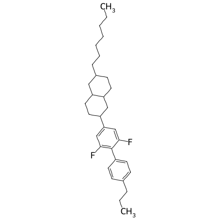 CCCCCCCC1CCC2CC(c3cc(F)c(-c4ccc(CCC)cc4)c(F)c3)CCC2C1